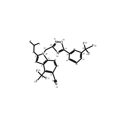 CC(C)Cc1cc2c(C(F)(F)F)c(C#N)ccc2n1Cc1noc(-c2cccc(C(F)(F)F)c2)n1